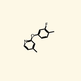 Cc1ccnc(Oc2ccc(C)c(F)c2)c1